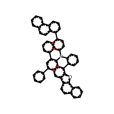 c1ccc(-c2ccc(N(c3ccc(-c4cccc5c4ccc4ccccc45)cc3)c3ccccc3-c3cccc4c3oc3c5ccccc5ccc43)c(-c3ccccc3)c2)cc1